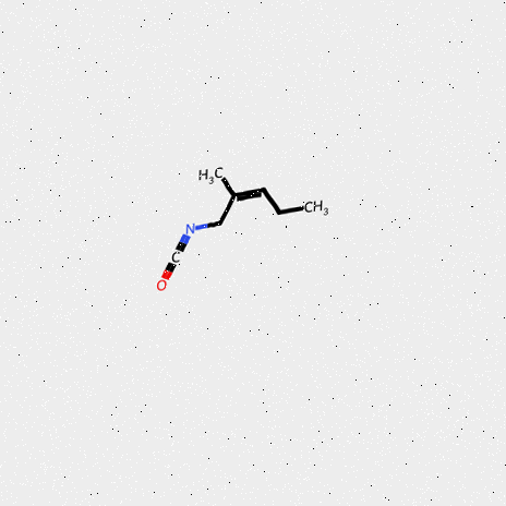 CCC=C(C)CN=C=O